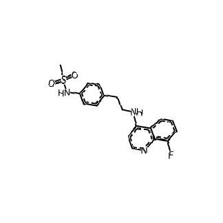 CS(=O)(=O)Nc1ccc(CCNc2ccnc3c(F)cccc23)cc1